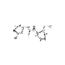 O=C(Nc1ccnc(Br)c1)Nc1ccccc1CO